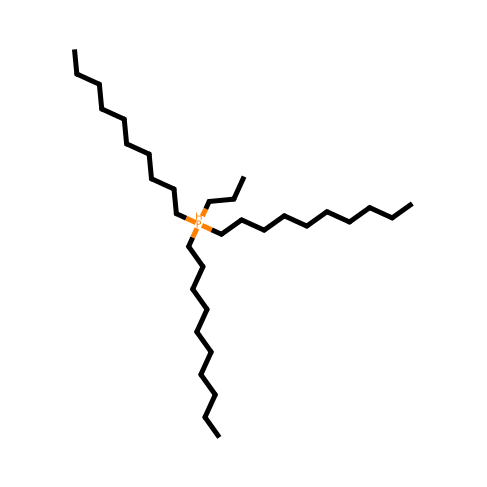 CCCCCCCCCC[PH](CCC)(CCCCCCCCCC)CCCCCCCCCC